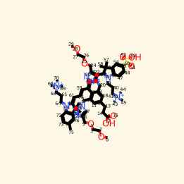 COCCOCc1cn(Cc2cc(CCC(=O)O)cc(Cn3cc(COCCOC)nn3)c2C(=C\C=C\C2=[N+](CCC[N+](C)(C)C)c3ccc(S(=O)(=O)O)cc3C2(C)C)/C=C/C=C2/N(CCC[N+](C)(C)C)c3ccc(C)cc3C2(C)C)nn1